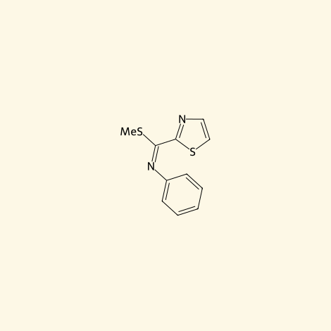 CSC(=Nc1ccccc1)c1nccs1